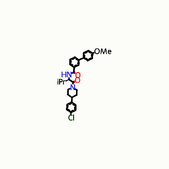 COc1ccc(-c2cccc(C(=O)N[C@@H](C(=O)N3CCC(c4ccc(Cl)cc4)CC3)C(C)C)c2)cc1